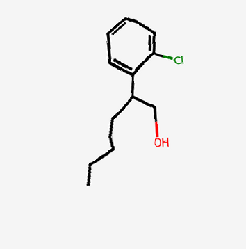 CCCCC(CO)c1ccccc1Cl